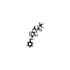 CC(C)N(C[C@@H](C=O)NC(=O)OCc1ccccc1)C(=O)OC(C)(C)C